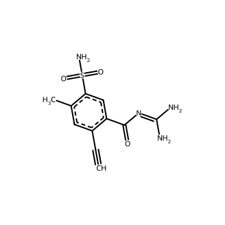 C#Cc1cc(C)c(S(N)(=O)=O)cc1C(=O)N=C(N)N